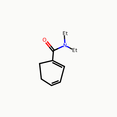 CCN(CC)C(=O)C1=CC=CCC1